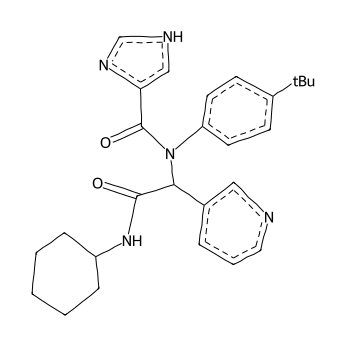 CC(C)(C)c1ccc(N(C(=O)c2c[nH]cn2)C(C(=O)NC2CCCCC2)c2cccnc2)cc1